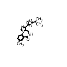 Cc1ccc2c(c1)C(=O)NCc1c(-c3noc(C(C)C)n3)ncn1-2